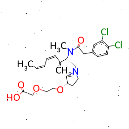 C=C(/C=C\C=C/C)[C@@H](CN1CC[C@H](OCCOCC(=O)O)C1)N(C)C(=O)Cc1ccc(Cl)c(Cl)c1